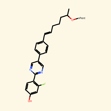 CCCCCOC(C)CCCC=Cc1ccc(-c2cnc(-c3ccc(O)cc3F)nc2)cc1